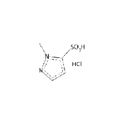 Cl.Cn1nccc1S(=O)(=O)O